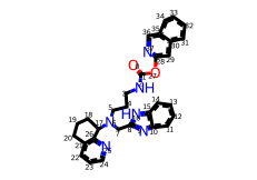 O=C(NCCCN(Cc1nc2ccccc2[nH]1)C1CCCc2cccnc21)Oc1cc2ccccc2cn1